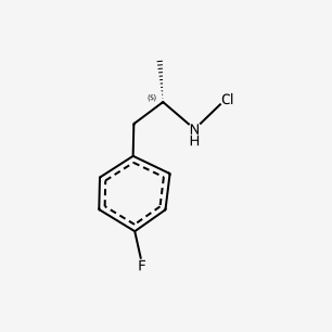 C[C@@H](Cc1ccc(F)cc1)NCl